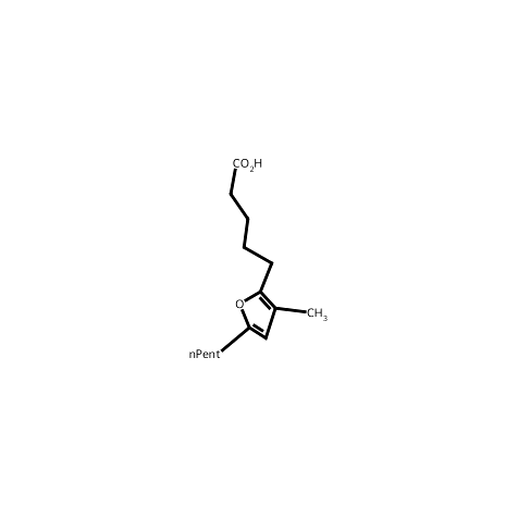 CCCCCc1cc(C)c(CCCCC(=O)O)o1